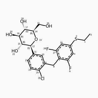 CCSc1cc(F)c(Cc2cc([C@@H]3O[C@H](CO)[C@@H](O)[C@H](O)[C@H]3O)ccc2Cl)c(F)c1